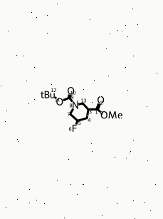 COC(=O)C1CC(F)CN(C(=O)OC(C)(C)C)C1